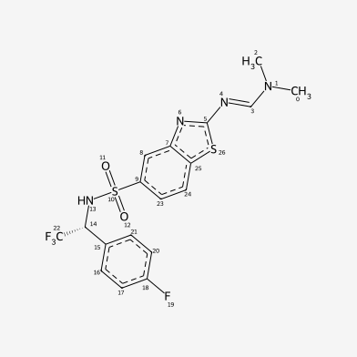 CN(C)C=Nc1nc2cc(S(=O)(=O)N[C@H](c3ccc(F)cc3)C(F)(F)F)ccc2s1